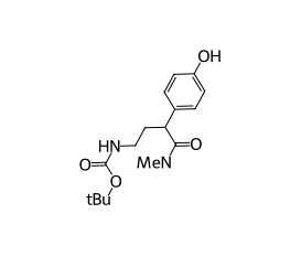 CNC(=O)C(CCNC(=O)OC(C)(C)C)c1ccc(O)cc1